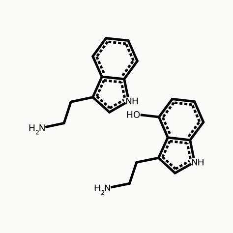 NCCc1c[nH]c2cccc(O)c12.NCCc1c[nH]c2ccccc12